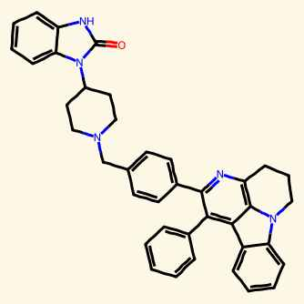 O=c1[nH]c2ccccc2n1C1CCN(Cc2ccc(-c3nc4c5c(c3-c3ccccc3)c3ccccc3n5CCC4)cc2)CC1